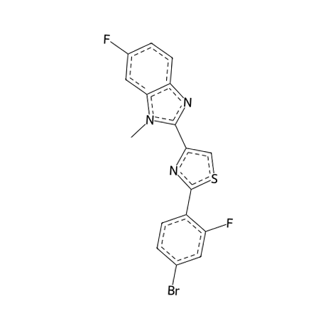 Cn1c(-c2csc(-c3ccc(Br)cc3F)n2)nc2ccc(F)cc21